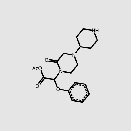 CC(=O)OC(=O)C(Oc1ccccc1)N1CCN(C2CCNCC2)CC1=O